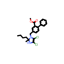 CCCCC1(C)NC(Cl)=C(Cl)N1Cc1ccc(-c2ccccc2)c(C(=O)OC)c1